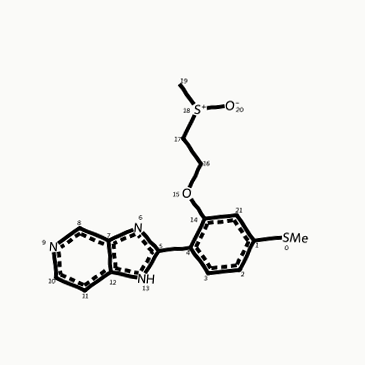 CSc1ccc(-c2nc3cnccc3[nH]2)c(OCC[S+](C)[O-])c1